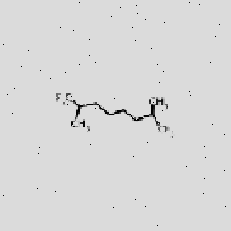 CC(CCCCC(C)C(F)(F)F)C(F)(F)F